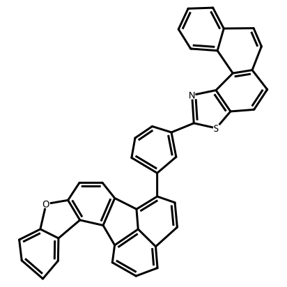 c1cc(-c2nc3c(ccc4ccc5ccccc5c43)s2)cc(-c2ccc3cccc4c3c2-c2ccc3oc5ccccc5c3c2-4)c1